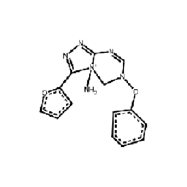 N[N+]12CN(Oc3ccccc3)C=NC1=NN=C2c1ccco1